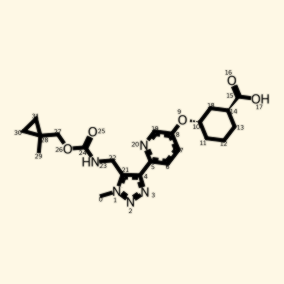 Cn1nnc(-c2ccc(O[C@H]3CCC[C@H](C(=O)O)C3)cn2)c1CNC(=O)OCC1(C)CC1